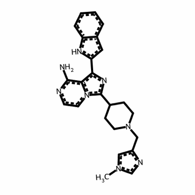 Cn1cnc(CN2CCC(c3nc(-c4cc5ccccc5[nH]4)c4c(N)nccn34)CC2)c1